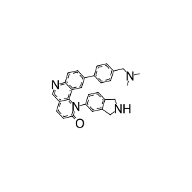 CN(C)Cc1ccc(-c2ccc3ncc4ccc(=O)n(-c5ccc6c(c5)CNC6)c4c3c2)cc1